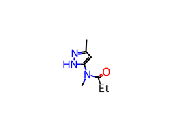 CCC(=O)N(C)c1cc(C)n[nH]1